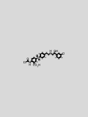 CCC(=O)Nc1ccc(S(=O)(=O)c2ccc(CCNC[C@H](O)c3cccc(Cl)c3)cc2)cc1C(=O)O